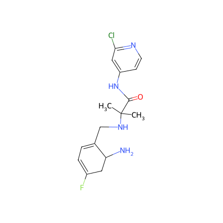 CC(C)(NCC1=CC=C(F)CC1N)C(=O)Nc1ccnc(Cl)c1